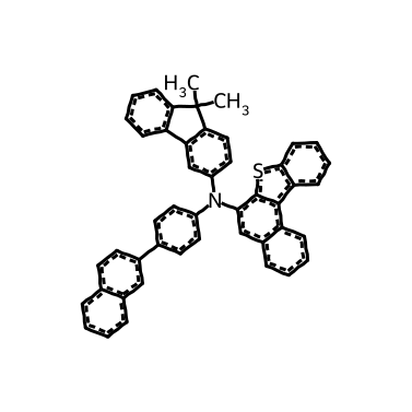 CC1(C)c2ccccc2-c2cc(N(c3ccc(-c4ccc5ccccc5c4)cc3)c3cc4ccccc4c4c3sc3ccccc34)ccc21